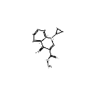 NNC(=O)c1cn(C2CC2)c2ccccc2c1=O